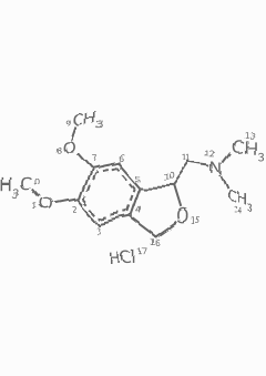 COc1cc2c(cc1OC)C(CN(C)C)OC2.Cl